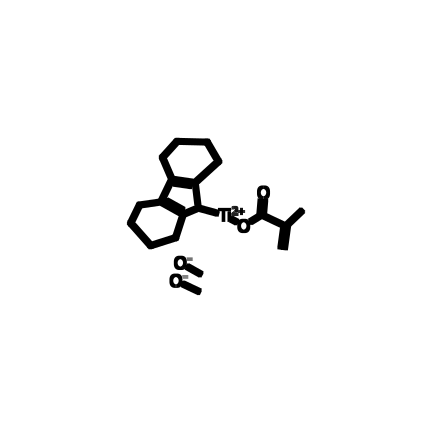 C=C(C)C(=O)[O][Ti+2][CH]1C2=C(CCCC2)C2=C1CCCC2.C[O-].C[O-]